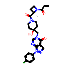 C=CC(=O)N1CC[C@]1(C)C(=O)N1CCC(O)(Cn2cnc3c(cnn3-c3ccc(F)cc3)c2=O)CC1